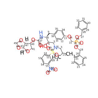 CC(C)CN(C[C@@H](O)[C@H](Cc1ccc(OCP(=O)(OCc2ccccc2)OCc2ccccc2)cc1)NC(=O)O[C@H]1CO[C@H]2OCO[C@H]21)S(=O)(=O)c1cccc([N+](=O)[O-])c1